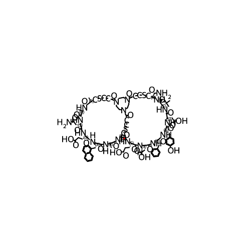 C[C@H]1CSCCC(=O)N2CCN3CCN(CC2)C(=O)CCSC[C@H](NC(=O)[C@@H](C)NC(=O)[C@H](Cc2cccc4ccccc24)NC(=O)[C@H](CCC(=O)O)NC(=O)[C@H](CC(N)=O)NC(=O)[C@@H](C)NC1=O)C(=O)N[C@@H](CCC(=O)O)C(=O)N[C@@H](CC(=O)O)C(=O)N[C@@H](Cc1ccccc1)C(=O)N[C@@H](Cc1ccc(O)cc1)C(=O)N[C@@H](CC(=O)O)C(=O)N[C@@H](C(C)(C)C)C(=O)N[C@H](C(N)=O)CSCCC3=O